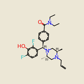 C=CCN1C[C@H](C)N([C@H](c2ccc(C(=O)N(CC)CC)cc2)c2ccc(F)c(O)c2F)C[C@H]1C